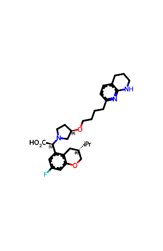 CC(C)[C@@H]1COc2cc(F)cc([C@@H](C(=O)O)N3CC[C@@H](OCCCCc4ccc5c(n4)NCCC5)C3)c2C1